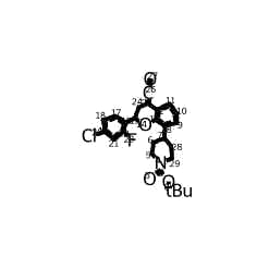 CC(C)(C)OC(=O)N1CCC(c2cccc3c2OC(c2ccc(Cl)cc2F)CC3=C=O)CC1